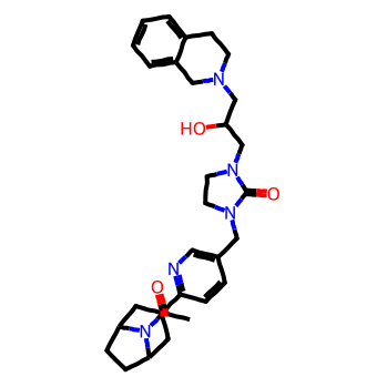 CC(=O)N1C2CCC1CC(c1ccc(CN3CCN(CC(O)CN4CCc5ccccc5C4)C3=O)cn1)C2